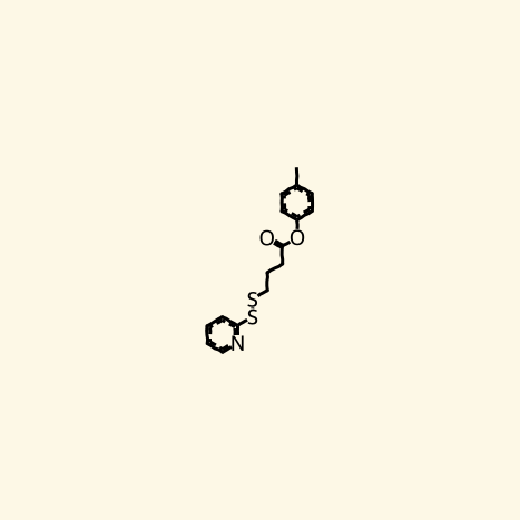 Cc1ccc(OC(=O)CCCSSc2ccccn2)cc1